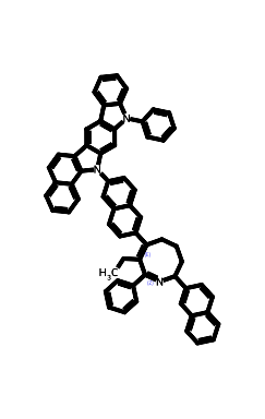 CCC1=C(\c2ccc3cc(-n4c5cc6c(cc5c5ccc7ccccc7c54)c4ccccc4n6-c4ccccc4)ccc3c2)CCCC(c2ccc3ccccc3c2)/N=C\1c1ccccc1